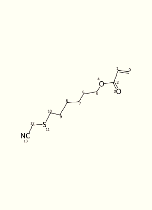 C=CC(=O)OCCCCCCSCC#N